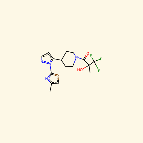 Cc1csc(-n2nccc2C2CCN(C(=O)C(C)(O)C(F)(F)F)CC2)n1